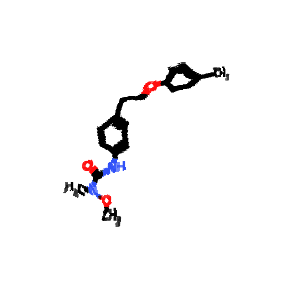 CON(C)C(=O)Nc1ccc(CCOc2ccc(C)cc2)cc1